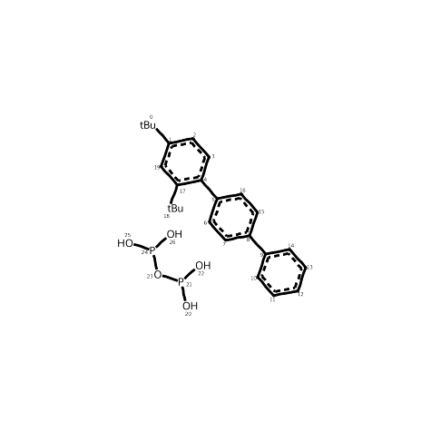 CC(C)(C)c1ccc(-c2ccc(-c3ccccc3)cc2)c(C(C)(C)C)c1.OP(O)OP(O)O